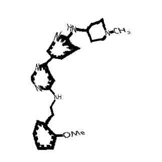 COc1ccccc1CCNc1cc(-c2ccc(NC3CCN(C)CC3)nc2)ncn1